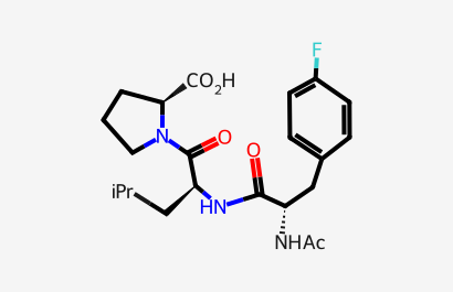 CC(=O)N[C@@H](Cc1ccc(F)cc1)C(=O)N[C@@H](CC(C)C)C(=O)N1CCC[C@H]1C(=O)O